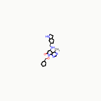 Cc1ncnc2c1c(NCc1ccc3cc[nH]c3c1)cc(=O)n2OCc1ccccc1